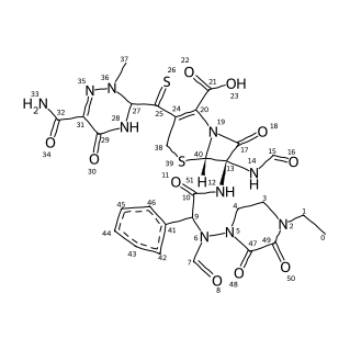 CCN1CCN(N(C=O)C(C(=O)N[C@]2(NC=O)C(=O)N3C(C(=O)O)=C(C(=S)C4NC(=O)C(C(N)=O)=NN4C)CS[C@H]32)c2ccccc2)C(=O)C1=O